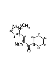 Cn1nccc1C=C(C#N)C(=O)C1CCCCC1